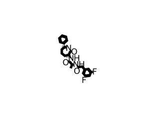 CC(NC(=O)Cc1cc(F)cc(F)c1)C(=O)N[C@H]1CCC[C@H](c2ccccc2)N(C)C1=O